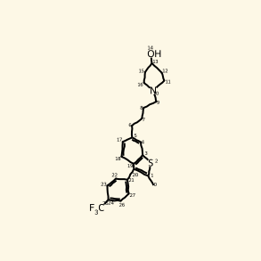 Cc1sc2cc(CCCCN3CCC(O)CC3)ccc2c1-c1ccc(C(F)(F)F)cc1